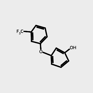 Oc1cccc(Oc2cccc(C(F)(F)F)c2)c1